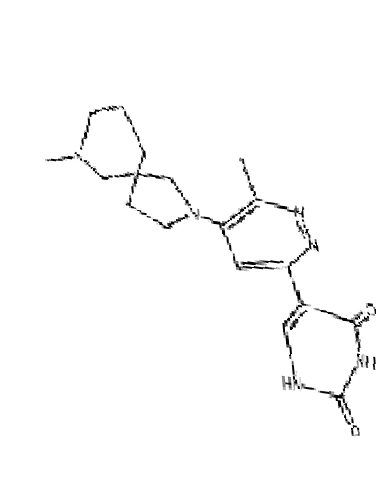 Cc1nnc(-c2c[nH]c(=O)[nH]c2=O)cc1N1CCC2(CCCN(C)C2)C1